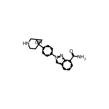 NC(=O)c1cccc2cn(-c3ccc(C45CCNCC4(O)C5)cc3)nc12